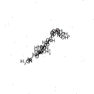 CCc1c2c(nc3ccc(O)cc13)/C(=C/C1=C(C=O)COC(=O)C1OC(=O)OCc1ccc(NC(=O)CNC(=O)COCC(=O)NC(C)(C)COC(C)(C)Cn3cc(CNC(=O)CCCC#Cc4cnc(SC)nc4)nn3)cc1)N(C)C2